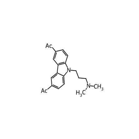 CC(=O)c1ccc2c(c1)c1cc(C(C)=O)ccc1n2CCCN(C)C